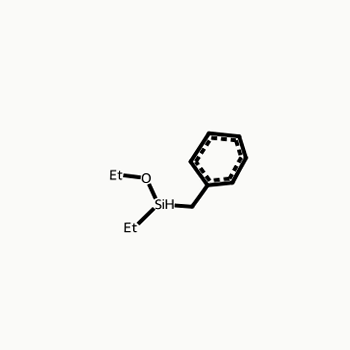 CCO[SiH](CC)Cc1ccccc1